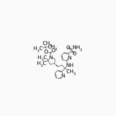 CC(C)(C)OC(=O)N1C[C@@H](CCC(C)(Nc2cccc(S(N)(=O)=O)n2)c2ccccn2)CC1(C)C